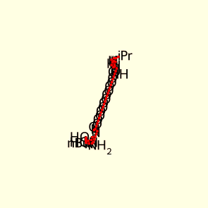 CCCCc1nc2c(N)nc3cc(CCCN4CCN(C(=O)CCOCCOCCOCCOCCOCCOCCOCCOCCOCCOCCOCCOCCNC(=O)O[C@H]5CC[C@@]6(C)C(=CC[C@H]7[C@@H]8CC[C@H]([C@H](C)CCCC(C)C)[C@@]8(C)CC[C@@H]76)C5)CC4)ccc3c2n1CC(C)(CO)CO